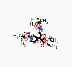 CCOC(=O)C(CCCNC(=O)OC(C)(C)C)(OC1CCN(C(=O)OC(C)(C)C)CC1)C(=O)OCC